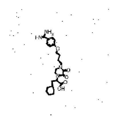 N=C(N)c1ccc(OCCCCN2CCN(C(CC3CCCCC3)C(=O)O)C(=O)C2=O)cc1